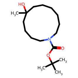 CC1(O)CCCCCCN(C(=O)OC(C)(C)C)CCCC1